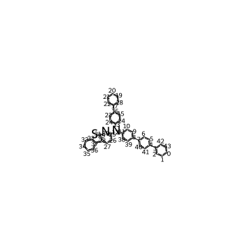 c1ccc(-c2ccc(-c3ccc(N(c4ccc(-c5ccccc5)cc4)c4ccc5c(n4)sc4ccccc45)cc3)cc2)cc1